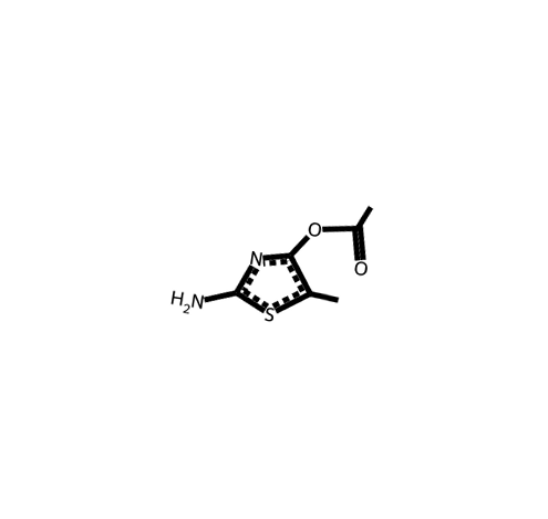 CC(=O)Oc1nc(N)sc1C